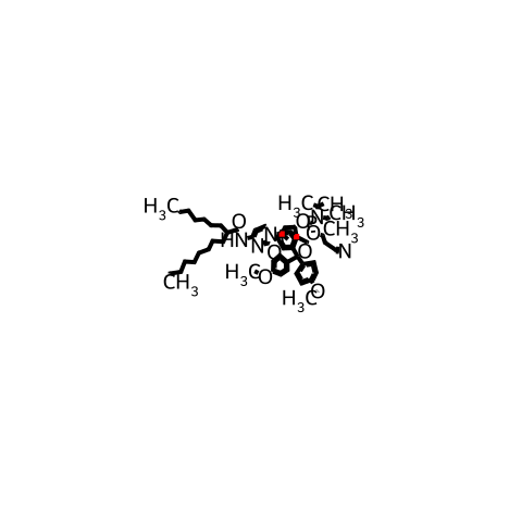 CCCCCCCCCC(CCCCCCC)C(=O)Nc1ccn(C2CC(OP(OCCC#N)N(C(C)C)C(C)C)C(COC(c3ccccc3)(c3ccc(OC)cc3)c3ccc(OC)cc3)O2)c(=O)n1